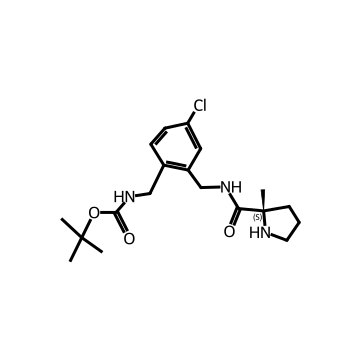 CC(C)(C)OC(=O)NCc1ccc(Cl)cc1CNC(=O)[C@]1(C)CCCN1